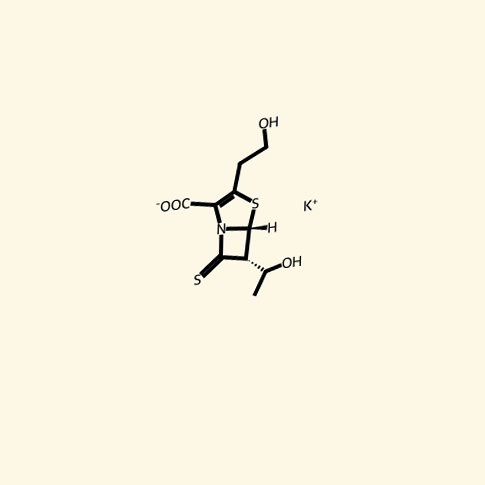 CC(O)[C@@H]1C(=S)N2C(C(=O)[O-])=C(CCO)S[C@H]12.[K+]